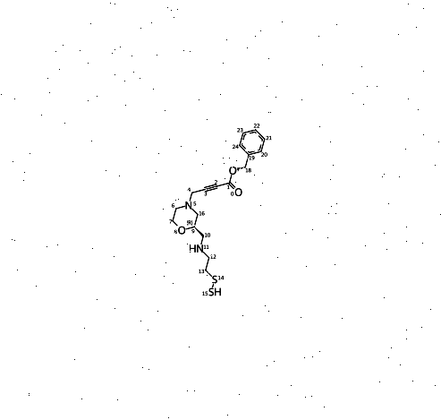 O=C(C#CCN1CCO[C@H](CNCCSS)C1)OCc1ccccc1